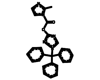 Cc1nccn1C(=O)Oc1ncn(C(c2ccccc2)(c2ccccc2)c2ccccc2)n1